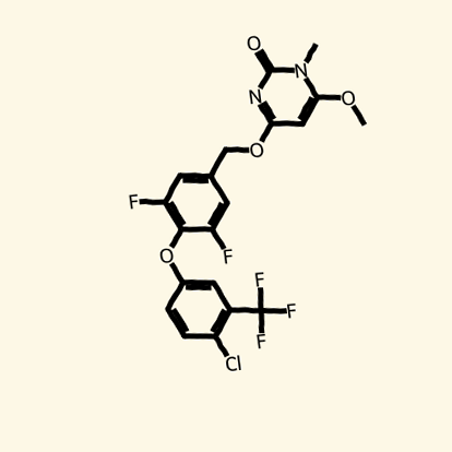 COc1cc(OCc2cc(F)c(Oc3ccc(Cl)c(C(F)(F)F)c3)c(F)c2)nc(=O)n1C